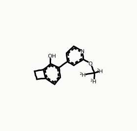 [2H]C([2H])([2H])Oc1cc(-c2ccc3c(c2O)CC3)ccn1